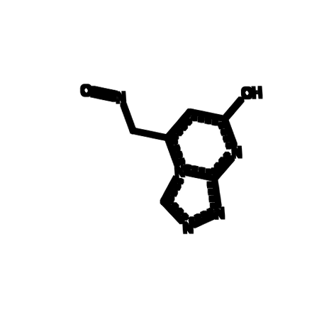 O=NCc1cc(O)nc2nncn12